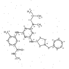 CNC(=O)c1ccc(C)c(Nc2nc(NC3CCN(Cc4ccccc4)C3)nc(N(C)CC(C)C)n2)c1